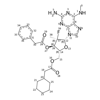 CNc1nc(N)nc2c1ncn2[C@@H]1O[C@H](COC(=O)CC2CCCCC2)[C@@H](OC(=O)Cc2ccccc2)[C@@]1(C)F